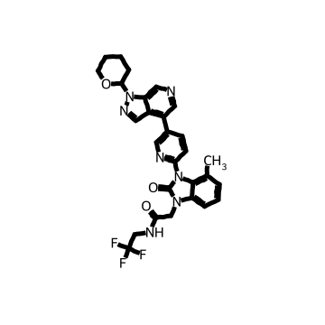 Cc1cccc2c1n(-c1ccc(-c3cncc4c3cnn4C3CCCCO3)cn1)c(=O)n2CC(=O)NCC(F)(F)F